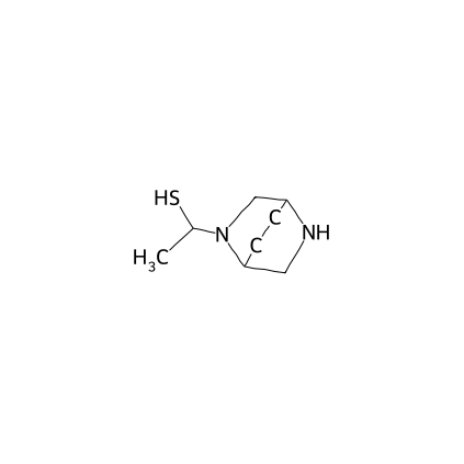 CC(S)N1CC2CCC1CN2